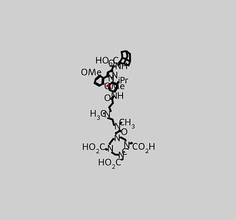 COc1cccc(OC)c1-c1cc(C(=O)NC2(C(=O)O)C3CC4CC5CC2C53C4)nn1-c1ccc(NC(=O)CCCN(C)CCCN(C)C(=O)CN2CCN(CC(=O)O)CCN(CC(=O)O)CCN(CC(=O)O)CC2)cc1C(C)C